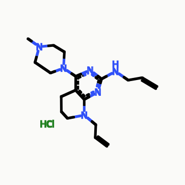 C=CCNc1nc2c(c(N3CCN(C)CC3)n1)CCCN2CC=C.Cl